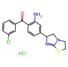 Cl.Nc1cc(C2CN3CCSC3=N2)ccc1C(=O)c1cccc(Cl)c1